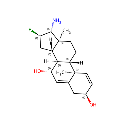 C[C@]12CC[C@H]3[C@@H]([C@@H](O)C=C4C[C@H](O)C=C[C@@]43C)[C@@H]1C[C@@H](F)[C@@H]2N